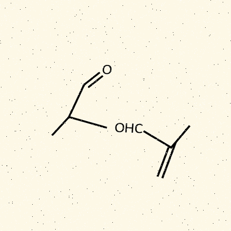 C=C(C)C=O.CC(C)C=O